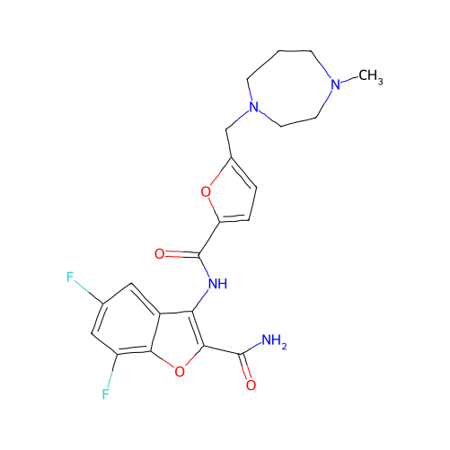 CN1CCCN(Cc2ccc(C(=O)Nc3c(C(N)=O)oc4c(F)cc(F)cc34)o2)CC1